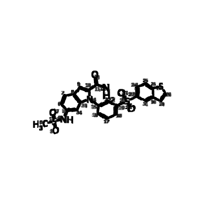 CS(=O)(=O)Nc1ccc2cc(C(N)=O)n(-c3cccc(S(=O)(=O)c4ccc5sccc5c4)c3)c2c1